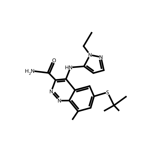 CCn1nccc1Nc1c(C(N)=O)nnc2c(C)cc(SC(C)(C)C)cc12